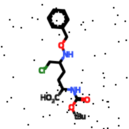 CC(C)(C)OC(=O)NC(CCC(CCl)NOCc1ccccc1)C(=O)O